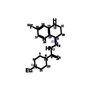 CCN1CCN(C(=S)N/N=C2/CCNc3cc(F)cnc32)CC1